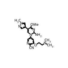 COC1=NC(N)N(c2cnc(C#N)c(OCCN(C)C)c2)C=C1c1cnn(C)c1